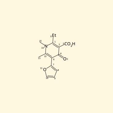 CCc1c(C(=O)O)c(=O)c(-c2ccco2)c(C)n1C